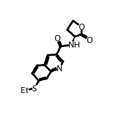 CCSc1ccc2cc(C(=O)N[C@H]3CCOC3=O)cnc2c1